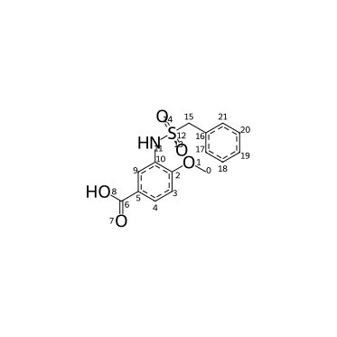 COc1ccc(C(=O)O)cc1NS(=O)(=O)Cc1ccccc1